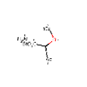 CCCCOC(C(C)=O)C(=O)OCC.[AlH3]